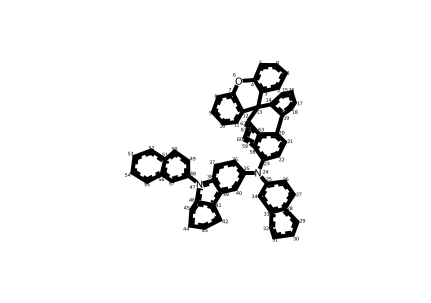 c1ccc2c(c1)Oc1ccccc1C21c2ccccc2-c2ccc(N(c3ccc4ccccc4c3)c3ccc4c(c3)c3ccccc3n4-c3ccc4ccccc4c3)c3cccc1c23